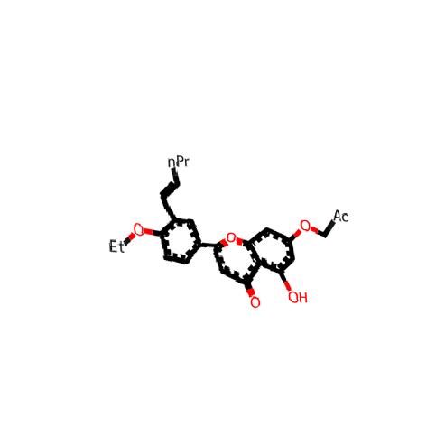 CCCC=Cc1cc(-c2cc(=O)c3c(O)cc(OCC(C)=O)cc3o2)ccc1OCC